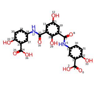 O=C(O)c1cc(NC(=O)c2cc(O)cc(C(=O)Nc3ccc(O)c(C(=O)O)c3)c2O)ccc1O